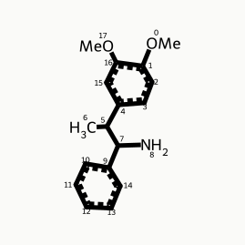 COc1ccc(C(C)C(N)c2ccccc2)cc1OC